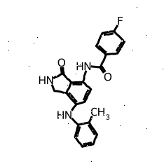 Cc1ccccc1Nc1ccc(NC(=O)c2ccc(F)cc2)c2c1CNC2=O